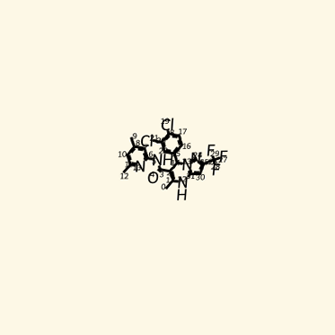 CC1=C(C(=O)Nc2cc(C)cc(C)n2)C(c2ccc(Cl)c(Cl)c2)n2nc(C(F)(F)F)cc2N1